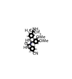 COc1ccc(/C(Nc2ccc(C(C)(C)N)cc2)=C2/C(=O)Nc3cc(C#N)ccc32)cc1OC